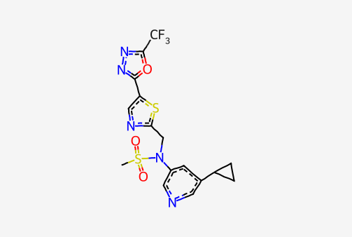 CS(=O)(=O)N(Cc1ncc(-c2nnc(C(F)(F)F)o2)s1)c1cncc(C2CC2)c1